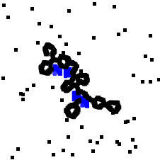 c1ccc(-c2ccc(-c3cc(-c4c5ccccc5c(-c5ccc6ccc7c(-c8ccccc8)c8ccccc8nc7c6n5)c5ccccc45)nc(-c4ccccc4)n3)cc2)cc1